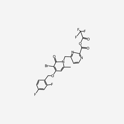 Cc1cc(OCc2ccc(F)cc2F)c(Br)c(=O)n1Cc1ccnc(C(=O)OC(=O)C(F)(F)F)n1